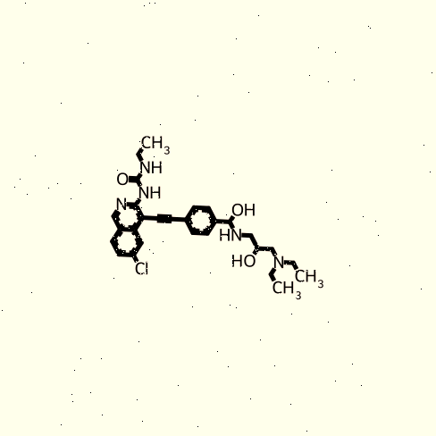 CCNC(=O)Nc1ncc2ccc(Cl)cc2c1C#Cc1ccc(C(O)NCC(O)CN(CC)CC)cc1